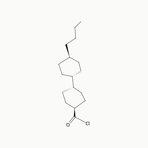 CCCC[C@H]1CC[C@H]([C@H]2CC[C@H](C(=O)Cl)CC2)CC1